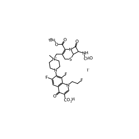 CC(C)(C)OC(=O)C1=C(C[N+]2(C)CCN(c3c(F)cc4c(=O)c(C(=O)O)cn(CCF)c4c3F)CC2)CSC2C(NC=O)C(=O)N12.[I-]